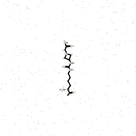 CC(=O)[C@H](N)CCCCNC(=O)NC1CN(CC(=O)O)C1